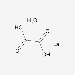 O.O=C(O)C(=O)O.[La]